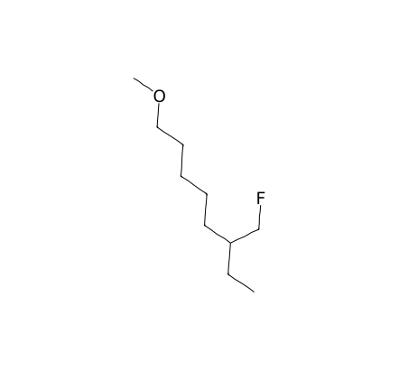 CCC(CF)CCCCCOC